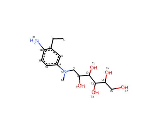 CCc1cc(N(C)CC(O)C(O)C(O)C(O)CO)ccc1N